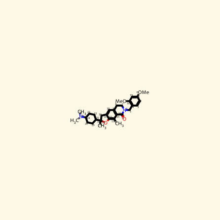 COc1ccc(CN2CCc3cc4c(c(C)c3C2=O)OC(C)(C2CCC(N(C)C)CC2)C4)c(OC)c1